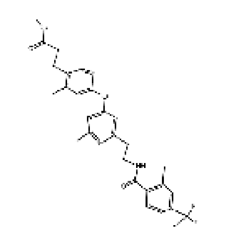 COC(=O)CCc1ccc(Oc2cc(F)cc(CCNC(=O)c3ccc(C(F)(F)F)cc3C)c2)cc1C